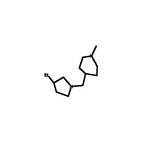 CCC1CCN(CC2CCN(C)CC2)C1